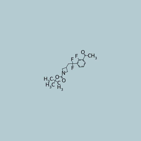 CC(=O)c1cccc(C(F)(F)CC2CN(C(=O)OC(C)(C)C)C2)c1F